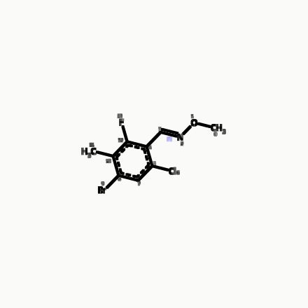 CO/N=C/c1c(Cl)cc(Br)c(C)c1F